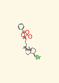 C[C@H](CCC[C@@]1(C)O[C@H](c2ccccc2)OC1=O)[C@H]1CCC2C(=CBr)CCC[C@]21C